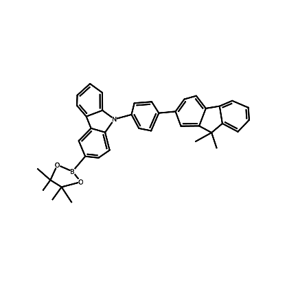 CC1(C)c2ccccc2-c2ccc(-c3ccc(-n4c5ccccc5c5cc(B6OC(C)(C)C(C)(C)O6)ccc54)cc3)cc21